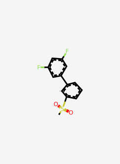 CS(=O)(=O)c1[c]c(-c2cc(F)cc(F)c2)ccc1